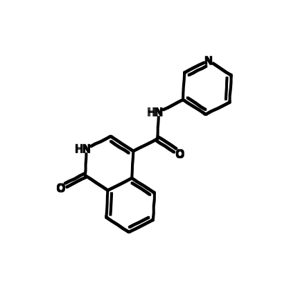 O=C(Nc1cccnc1)c1c[nH]c(=O)c2ccccc12